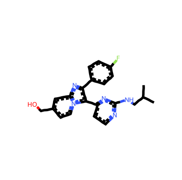 CC(C)CNc1nccc(-c2c(-c3ccc(F)cc3)nc3cc(CO)ccn23)n1